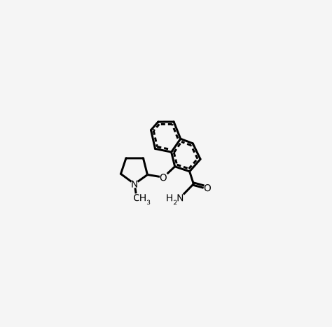 CN1CCCC1Oc1c(C(N)=O)ccc2ccccc12